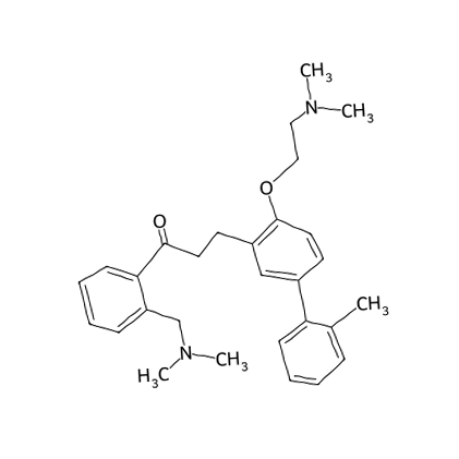 Cc1ccccc1-c1ccc(OCCN(C)C)c(CCC(=O)c2ccccc2CN(C)C)c1